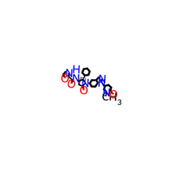 Cn1cc(-n2ncc3cc(N4C(=O)CC(NC(=O)c5ncco5)[C@H]4c4ccccc4)ccc32)ccc1=O